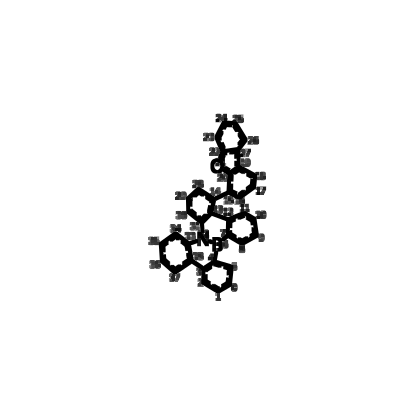 c1ccc2c(c1)B1c3ccccc3-c3c(-c4cccc5c4oc4ccccc45)cccc3N1c1ccccc1-2